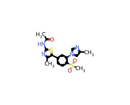 CC(=O)Nc1nc(C)c(-c2ccc(S(C)(=O)=O)c(-n3cnc(C)c3)c2)s1